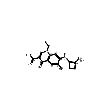 CCn1cc(C(=O)O)c(=O)c2cc(F)c(NC3CCC3N)cc21